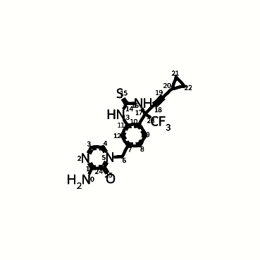 Nc1nccn(Cc2ccc3c(c2)NC(=S)NC3(C#CC2CC2)C(F)(F)F)c1=O